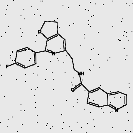 O=C(NCCc1cc2c(c(-c3ccc(F)cc3)n1)OCC2)c1ccc2ncccc2c1